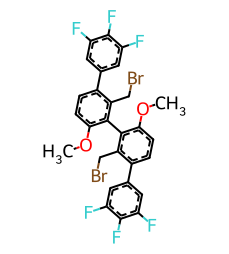 COc1ccc(-c2cc(F)c(F)c(F)c2)c(CBr)c1-c1c(OC)ccc(-c2cc(F)c(F)c(F)c2)c1CBr